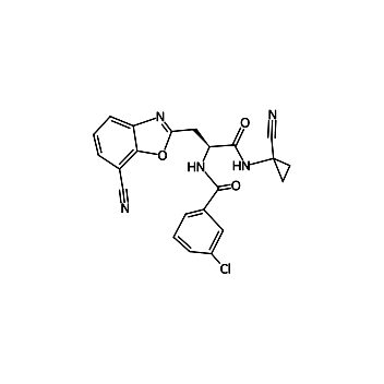 N#Cc1cccc2nc(C[C@H](NC(=O)c3cccc(Cl)c3)C(=O)NC3(C#N)CC3)oc12